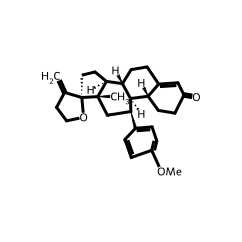 C=C1CCO[C@@]12CC[C@H]1[C@@H]3CCC4=CC(=O)CC[C@@H]4[C@H]3[C@@H](c3ccc(OC)cc3)C[C@@]12C